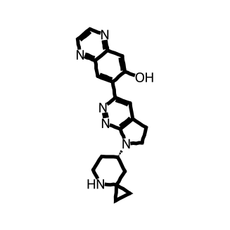 Oc1cc2nccnc2cc1-c1cc2c(nn1)N([C@H]1CCNC3(CC3)C1)CC2